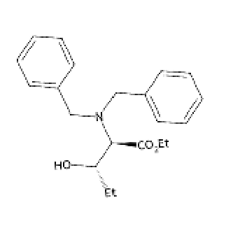 CCOC(=O)[C@@H]([C@@H](O)CC)N(Cc1ccccc1)Cc1ccccc1